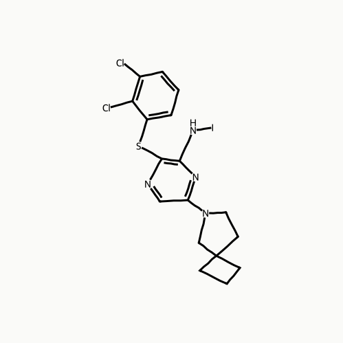 Clc1cccc(Sc2ncc(N3CCC4(CCC4)C3)nc2NI)c1Cl